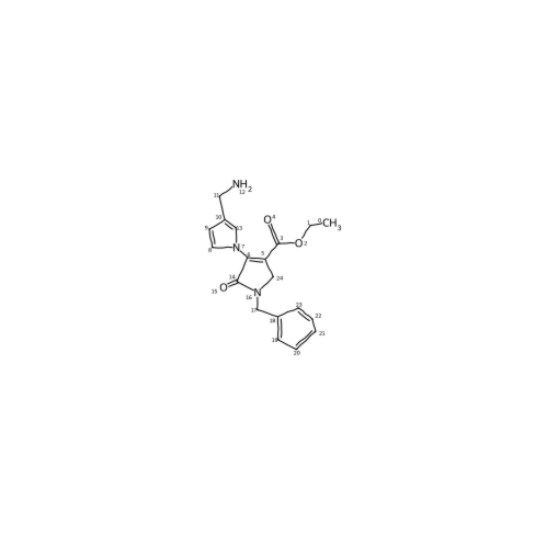 CCOC(=O)C1=C(n2ccc(CN)c2)C(=O)N(Cc2ccccc2)C1